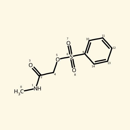 CNC(=O)COS(=O)(=O)c1ccccc1